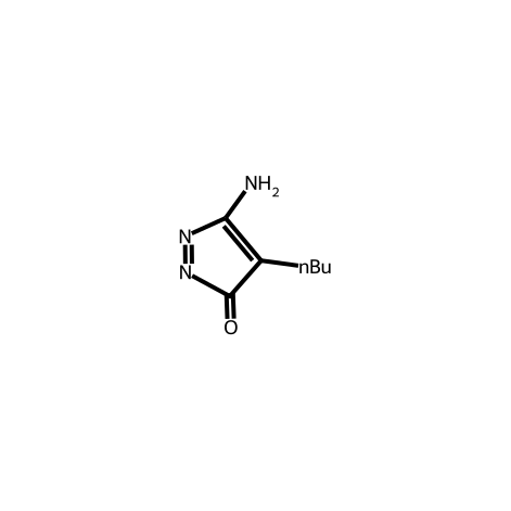 CCCCC1=C(N)N=NC1=O